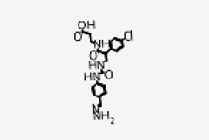 NN=Cc1ccc(NC(=O)NCC(C(=O)NCCC(=O)O)c2ccc(Cl)cc2)cc1